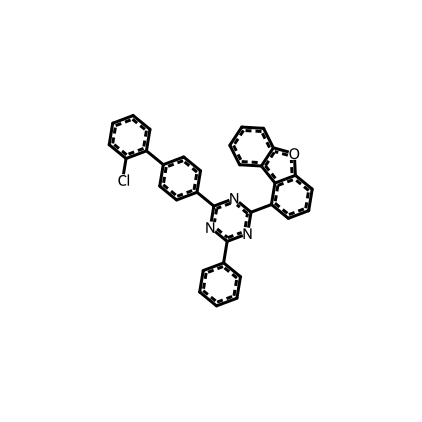 Clc1ccccc1-c1ccc(-c2nc(-c3ccccc3)nc(-c3cccc4oc5ccccc5c34)n2)cc1